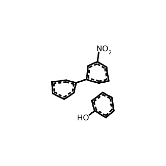 O=[N+]([O-])c1cccc(-c2ccccc2)c1.Oc1ccccc1